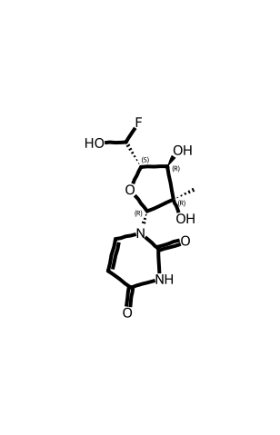 C[C@@]1(O)[C@H](O)[C@@H](C(O)F)O[C@H]1n1ccc(=O)[nH]c1=O